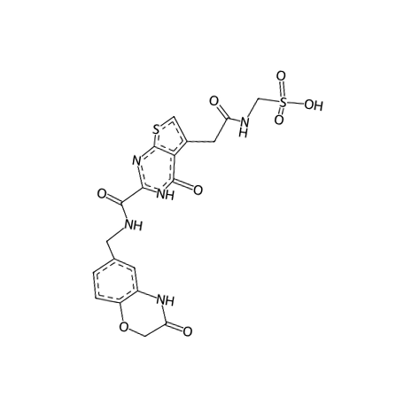 O=C(Cc1csc2nc(C(=O)NCc3ccc4c(c3)NC(=O)CO4)[nH]c(=O)c12)NCS(=O)(=O)O